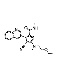 CCOCCN(C)c1sc(C(=O)NC)c(-c2cnc3ccccc3c2)c1C#N